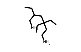 CCC(CN)CC(CC)(CC)CCN